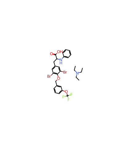 CCN(CC)CC.O=C(O)C(Cc1cc(Br)c(OCc2cccc(OC(F)(F)F)c2)c(Br)c1)Nc1ccccc1